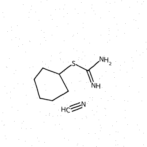 C#N.N=C(N)SC1CCCCC1